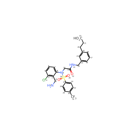 NCc1c(Cl)cccc1N(CC(=O)NCc1cccc(CCC(=O)O)c1)S(=O)(=O)c1ccc(C(F)(F)F)cc1